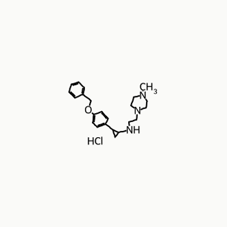 CN1CCN(CCNC2CC2c2ccc(OCc3ccccc3)cc2)CC1.Cl